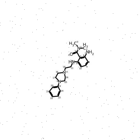 CN(C)C(=O)c1c(N)cccc1NCCN1CCN(c2ccccc2)CC1